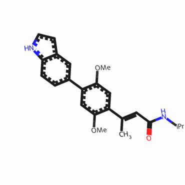 COc1cc(-c2ccc3[nH]ccc3c2)c(OC)cc1/C(C)=C/C(=O)NC(C)C